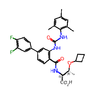 Cc1cc(C)c(NC(=O)Nc2cc(-c3ccc(F)c(F)c3)ccc2C(=O)N[C@H](C(=O)O)[C@@H](C)OC2CCC2)c(C)c1